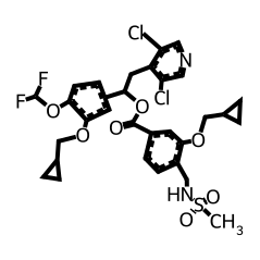 CS(=O)(=O)NCc1ccc(C(=O)OC(Cc2c(Cl)cncc2Cl)c2ccc(OC(F)F)c(OCC3CC3)c2)cc1OCC1CC1